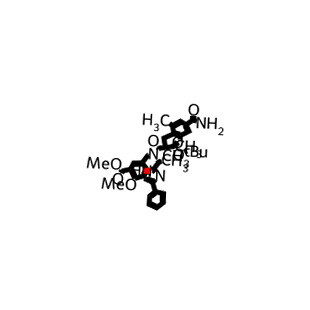 COC(=O)c1cc(CN(C(=O)C(C)(Cc2c(C)cc(C(N)=O)cc2C)C(=O)OC(C)(C)C)C(C)c2nc(-c3ccccc3)c[nH]2)ccc1OC